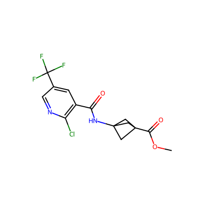 COC(=O)C12CC(NC(=O)c3cc(C(F)(F)F)cnc3Cl)(C1)C2